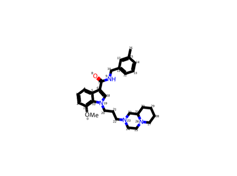 COc1cccc2c(C(=O)NCc3cccc(C)c3)cn(CCCN3CCN4CCCCC4C3)c12